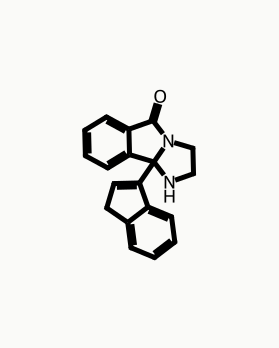 O=C1c2ccccc2C2(C3=CCc4ccccc43)NCCN12